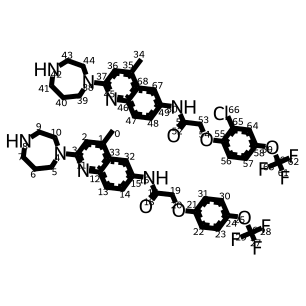 Cc1cc(N2CCCNCC2)nc2ccc(NC(=O)COc3ccc(OC(F)(F)F)cc3)cc12.Cc1cc(N2CCCNCC2)nc2ccc(NC(=O)COc3ccc(OC(F)(F)F)cc3Cl)cc12